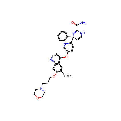 COc1cc2c(Oc3ccc(C4(c5ccccc5)C=CNC(C(N)=O)=N4)nc3)ccnc2cc1OCCCN1CCOCC1